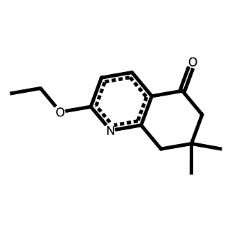 CCOc1ccc2c(n1)CC(C)(C)CC2=O